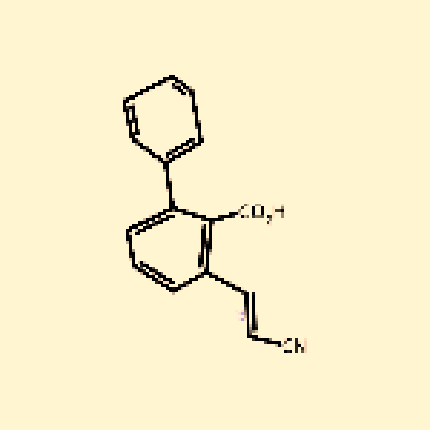 N#C/C=C/c1cccc(-c2ccccc2)c1C(=O)O